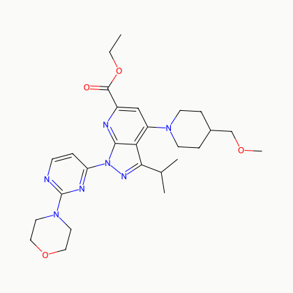 CCOC(=O)c1cc(N2CCC(COC)CC2)c2c(C(C)C)nn(-c3ccnc(N4CCOCC4)n3)c2n1